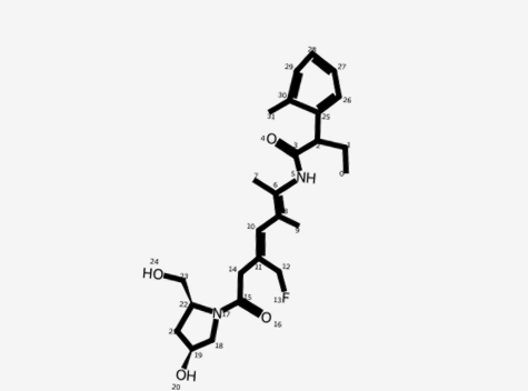 CCC(C(=O)N/C(C)=C(C)/C=C(\CF)CC(=O)N1C[C@@H](O)C[C@H]1CO)c1ccccc1C